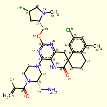 C=C(F)C(=O)N1CCN(c2nc(OC[C@@H]3C[C@@H](F)CN3C)nc3c2NC(=O)C2(CCCc4c(C)cc(Cl)cc42)C3)C[C@@H]1CN